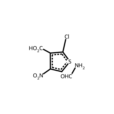 NC=O.O=C(O)c1c([N+](=O)[O-])csc1Cl